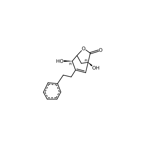 O=C1OC2C[C@@]1(O)C=C(CCc1ccccc1)[C@H]2O